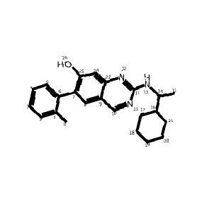 Cc1ccccc1-c1cc2cnc(NC(C)C3CCCCC3)nc2cc1O